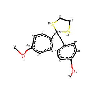 COc1ccc(C2(c3ccc(OC)cc3)SCCS2)cc1